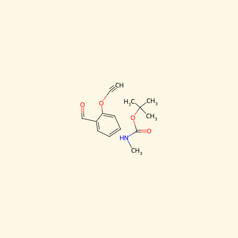 C#COc1ccccc1C=O.CNC(=O)OC(C)(C)C